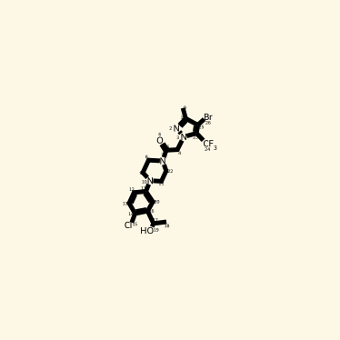 Cc1nn(CC(=O)N2CCN(c3ccc(Cl)c(C(C)O)c3)CC2)c(C(F)(F)F)c1Br